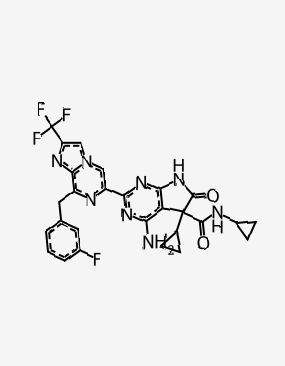 Nc1nc(-c2cn3cc(C(F)(F)F)nc3c(Cc3cccc(F)c3)n2)nc2c1C(C(=O)NC1CC1)(C1CC1)C(=O)N2